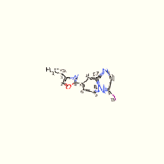 Cc1coc(-c2ccn3c(I)cnc3c2)n1